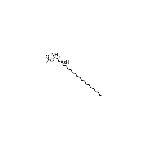 CCCCCCCCCCCCCCCCCC[AsH]CCC(N)OC(C)=O